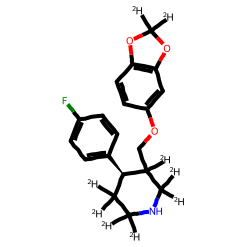 [2H]C1([2H])Oc2ccc(OCC3([2H])[C@H](c4ccc(F)cc4)C([2H])([2H])C([2H])([2H])NC3([2H])[2H])cc2O1